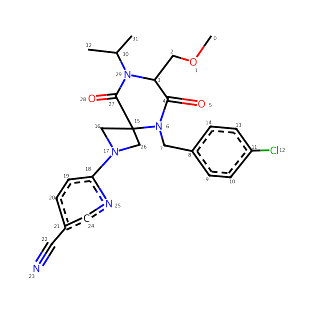 COCC1C(=O)N(Cc2ccc(Cl)cc2)C2(CN(c3ccc(C#N)cn3)C2)C(=O)N1C(C)C